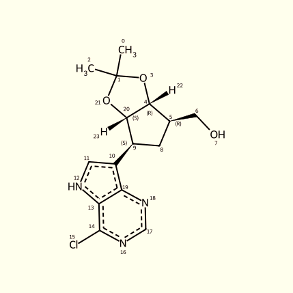 CC1(C)O[C@@H]2[C@@H](CO)C[C@@H](c3c[nH]c4c(Cl)ncnc34)[C@@H]2O1